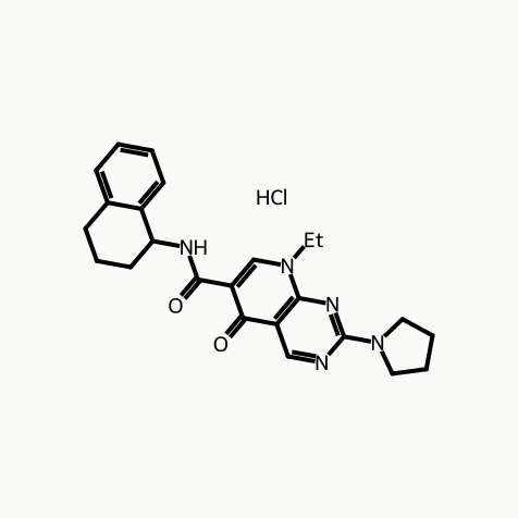 CCn1cc(C(=O)NC2CCCc3ccccc32)c(=O)c2cnc(N3CCCC3)nc21.Cl